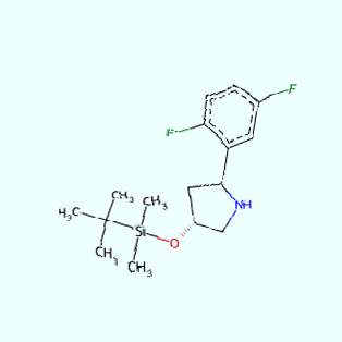 CC(C)(C)[Si](C)(C)O[C@H]1CNC(c2cc(F)ccc2F)C1